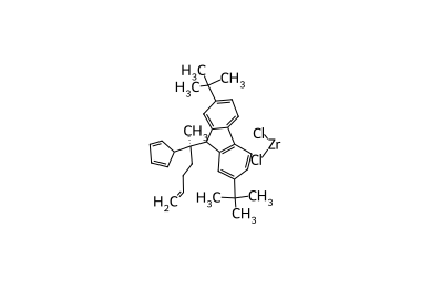 C=CCC[C@@](C)(C1C=CC=C1)C1c2cc(C(C)(C)C)ccc2-c2ccc(C(C)(C)C)cc21.[Cl][Zr][Cl]